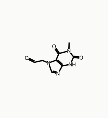 Cn1c(=O)[nH]c2ncn(CC=O)c2c1=O